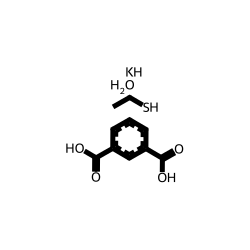 CCS.O.O=C(O)c1cccc(C(=O)O)c1.[KH]